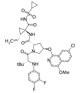 C=C[C@@H]1C[C@]1(NC(=O)[C@@H]1C[C@@H](Oc2ncc(OC)c3ccc(Cl)cc23)CN1C(=O)[C@H](Nc1ccc(F)c(F)c1)C(C)(C)C)C(=O)NS(=O)(=O)C1CC1